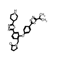 CC(C)c1nnc(-c2ccc(Oc3cc(-c4nnc(C5CCNCC5)s4)ccc3CN3CCCC3=O)cc2)s1